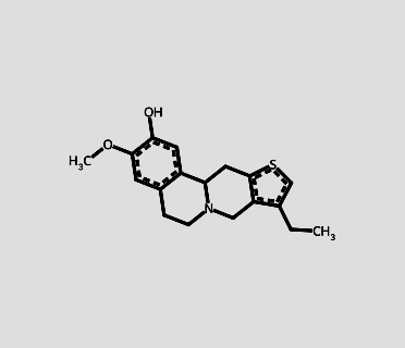 CCc1csc2c1CN1CCc3cc(OC)c(O)cc3C1C2